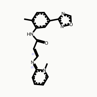 Cc1ccc(-c2ncon2)cc1NC(=O)/C=C/N=c1/ccccn1C